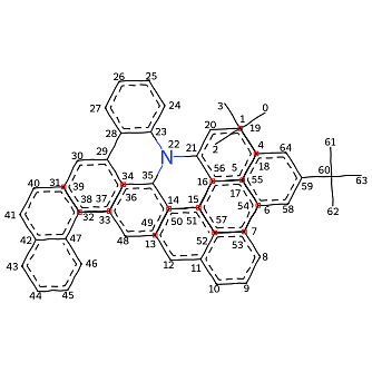 CC(C)(C)c1cc(-c2cccc3cccc(-c4ccccc4N(c4ccccc4-c4ccccc4)c4cc(-c5cccc6ccccc56)ccc4-c4ccccc4)c23)cc(C(C)(C)C)c1